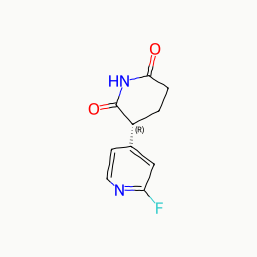 O=C1CC[C@H](c2ccnc(F)c2)C(=O)N1